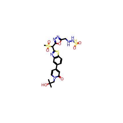 CC(C)(O)Cn1ccc(-c2ccc3sc(C(c4nnc(CNN[SH](=O)=O)o4)S(C)(=O)=O)nc3c2)cc1=O